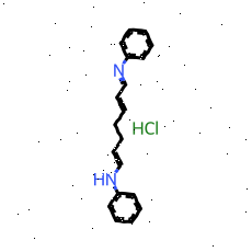 C(=CCCC=CNc1ccccc1)C=Nc1ccccc1.Cl